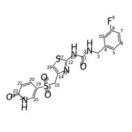 O=C(NCc1cccc(F)c1)Nc1nc(CS(=O)(=O)c2ccc(=O)[nH]c2)cs1